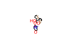 C[N+]1(C)C2CC(OC(=O)C(O)(c3cccs3)C3CC=CS3)CC1C1OC12